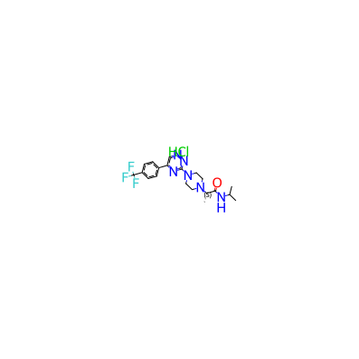 CC(C)NC(=O)[C@H](C)N1CCN(c2nncc(-c3ccc(C(F)(F)F)cc3)n2)CC1.Cl